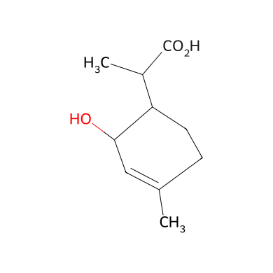 CC1=CC(O)C(C(C)C(=O)O)CC1